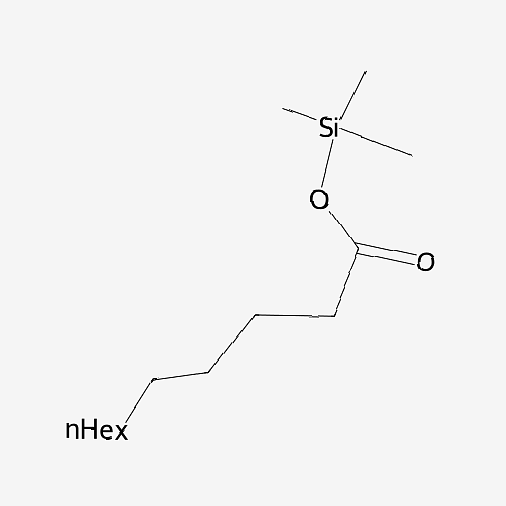 CCCCCCCCCCC(=O)O[Si](C)(C)C